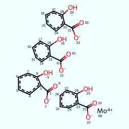 O=C([O-])c1ccccc1O.O=C([O-])c1ccccc1O.O=C([O-])c1ccccc1O.O=C([O-])c1ccccc1O.[Mo+4]